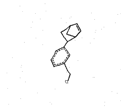 ClCc1cccc(C2CC3C=CC2C3)c1